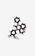 O=C(N(c1ccccc1)c1ccccc1)N(c1ccncc1)c1ccc(Cl)c([N+](=O)[O-])c1